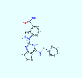 NC(=O)c1cccc2c1cnn2-c1nc2c(c(NCc3ccccc3)n1)CCC2